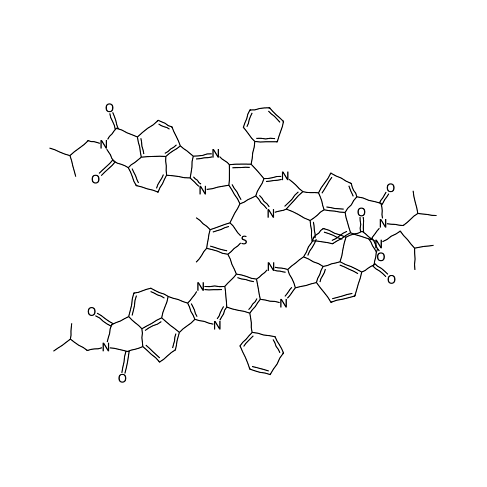 Cc1c(-c2c3nc4c(nc3c(-c3ccccc3)c3nc5c(nc23)-c2ccc3c6c(ccc-5c26)C(=O)N(CC(C)C)C3=O)-c2ccc3c5c(ccc-4c25)C(=O)N(CC(C)C)C3=O)sc(-c2c3nc4c(nc3c(-c3ccccc3)c3nc5c(nc23)-c2ccc3c6c(ccc-5c26)C(=O)N(CC(C)C)C3=O)-c2ccc3c5c(ccc-4c25)C(=O)N(CC(C)C)C3=O)c1C